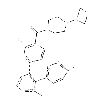 CCc1nccc(-c2ccc(C(=O)N3CCN(C4COC4)CC3)c(F)c2)c1-c1ccc(N)nc1